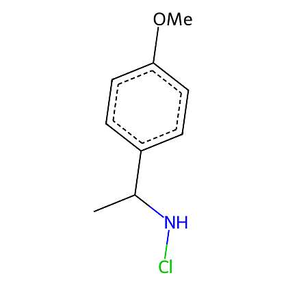 COc1ccc(C(C)NCl)cc1